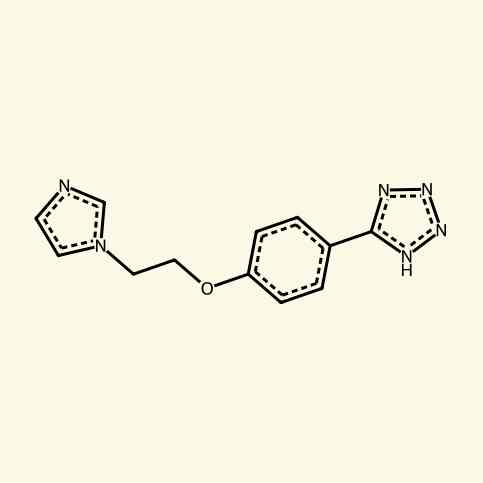 c1cn(CCOc2ccc(-c3nnn[nH]3)cc2)cn1